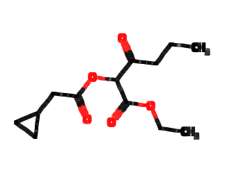 CCCC(=O)C(OC(=O)CC1CC1)C(=O)OCC